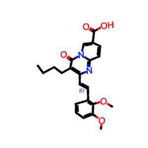 CCCCc1c(/C=C/c2cccc(OC)c2OC)nc2ccc(C(=O)O)cn2c1=O